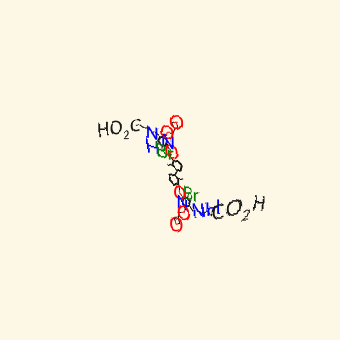 Cc1c(COc2nc(OCC3COC3)c(CNCCCC(=O)O)cc2Br)cccc1-c1cccc(COc2nc(OCC3COC3)c(CNCCCC(=O)O)cc2Br)c1C